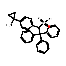 NC1(c2ccc(C(C(c3ccccc3)(c3ccccc3)c3ccccc3)S(=O)(=O)O)cc2)CC1